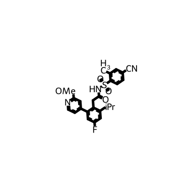 COc1cc(-c2cc(F)cc(C(C)C)c2CC(=O)NS(=O)(=O)c2ccc(C#N)cc2C)ccn1